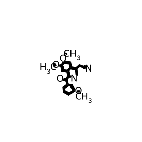 COc1cccc(C(=O)c2ncc(CC#N)c3cc(OC)c(OC)cc23)c1